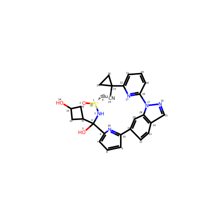 CC(C)(C)[S@@+]([O-])NC(O)(c1cccc(-c2ccc3cnn(-c4cccc(C5(C#N)CC5)n4)c3c2)n1)C1CC(O)C1